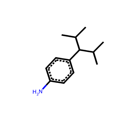 CC(C)C(c1ccc(N)cc1)C(C)C